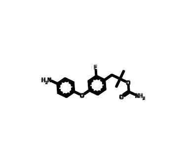 CC(C)(Cc1ccc(Oc2ccc(N)cc2)cc1F)OC(N)=O